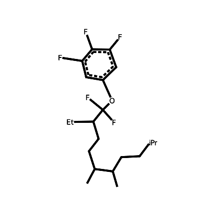 CCC(CCC(C)C(C)CCC(C)C)C(F)(F)Oc1cc(F)c(F)c(F)c1